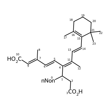 CCCCCCCCCC(CC(=O)O)C(/C=C/C(C)=C/C(=O)O)=C(C)/C=C/C1=C(C)CCCC1(C)C